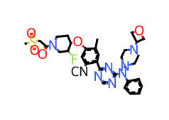 Cc1cc(-c2ncnc(N(c3ccccc3)N3CCN(C4COC4)CC3)n2)c(C#N)cc1O[C@H]1CCN(C(=O)CS(C)(=O)=O)C[C@@H]1F